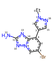 CCn1cc(-c2cc(Br)cn3nc(N)nc23)cn1